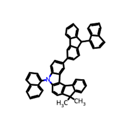 CC1(C)c2ccccc2-c2c1ccc1c2c2cc(-c3ccc4c(c3)-c3ccccc3C4c3cccc4ccccc34)ccc2n1-c1cccc2ccccc12